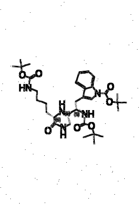 CC(C)(C)OC(=O)NCCCC[C@@H]1N[C@H]([C@H](Cc2cn(C(=O)OC(C)(C)C)c3ccccc23)NC(=O)OC(C)(C)C)CNC1=O